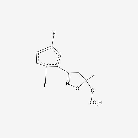 CC1(OC(=O)O)CC(c2cc(F)ccc2F)=NO1